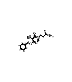 NC(=O)CCn1cnc(OCc2ccccc2)c(Br)c1=O